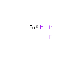 [Eu+3].[I-].[I-].[I-]